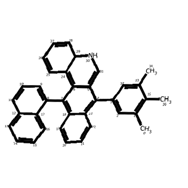 Cc1cc(-c2c3c(c(-c4cccc5ccccc45)c4ccccc24)=C2C=CC=CC2NC=3)cc(C)c1C